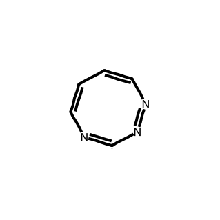 [C]1=NC=CC=CN=N1